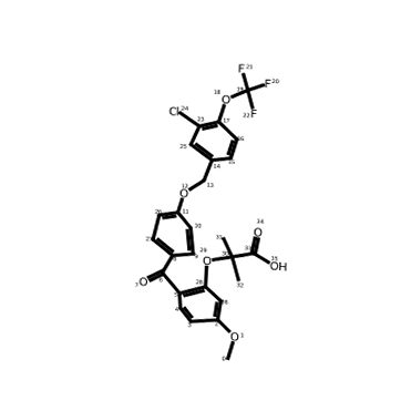 COc1ccc(C(=O)c2ccc(OCc3ccc(OC(F)(F)F)c(Cl)c3)cc2)c(OC(C)(C)C(=O)O)c1